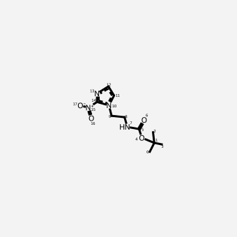 CC(C)(C)OC(=O)NCCn1ccnc1[N+](=O)[O-]